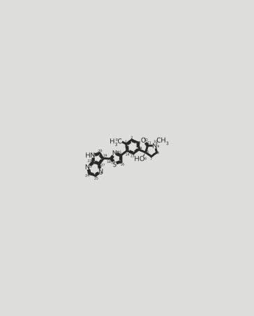 Cc1ccc([C@]2(O)CCN(C)C2=O)cc1-c1csc(-c2c[nH]c3nccnc23)n1